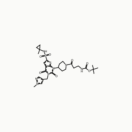 Cn1cc(Cn2c(=O)c3cc(S(=O)(=O)NC4(C)CC4)sc3n(C3CCN(C(=O)CCNC(=O)OC(C)(C)C)CC3)c2=O)cn1